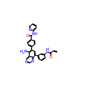 C=CC(=O)Nc1cccc(-c2cc(-c3ccc(C(=O)Nc4ccccn4)cc3)c(N)c3cncnc23)c1